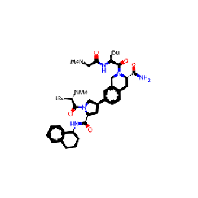 CNCC(=O)NC(C(=O)N1Cc2cc(C3C[C@@H](C(=O)N[C@@H]4CCCc5ccccc54)N(C(=O)[C@@H](NC)C(C)(C)C)C3)ccc2C[C@H]1C(N)=O)C(C)(C)C